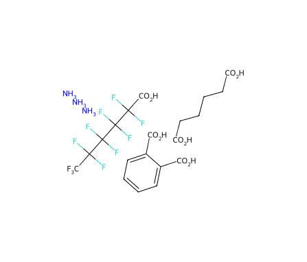 N.N.N.O=C(O)C(F)(F)C(F)(F)C(F)(F)C(F)(F)C(F)(F)F.O=C(O)CCCCC(=O)O.O=C(O)c1ccccc1C(=O)O